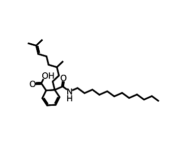 CCCCCCCCCCCCNC(=O)C1(CCC(C)CCC=C(C)C)C=CC=CC1C(=O)O